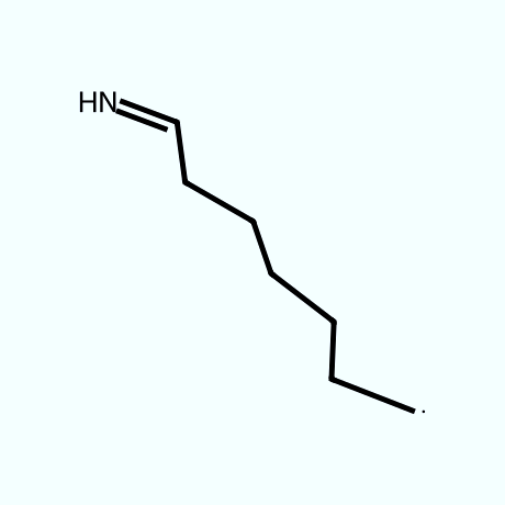 [CH2]CCCCCC=N